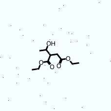 CCOC(=O)CC(C(=O)OCC)C(C)O